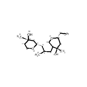 CC(C)C[C@@H]1C[C@](C)(O)C(CC(C)C[C@H]2C[C@@](C)(O)CCO2)CO1